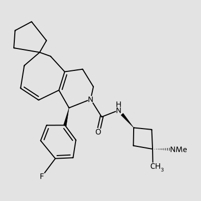 CN[C@]1(C)C[C@@H](NC(=O)N2CCC3=C(C=CCC4(CCCC4)C3)[C@@H]2c2ccc(F)cc2)C1